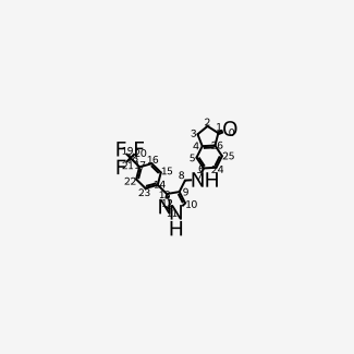 O=C1CCc2cc(NCc3c[nH]nc3-c3ccc(C(F)(F)F)cc3)ccc21